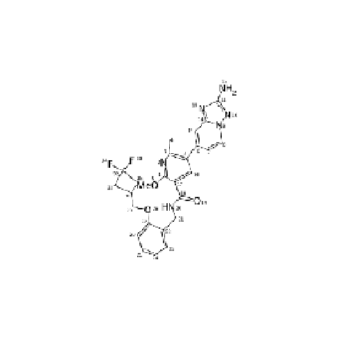 COc1nc(C)c(-c2ccn3nc(N)nc3c2)cc1C(=O)NCc1ccccc1OCC1CC(F)(F)C1